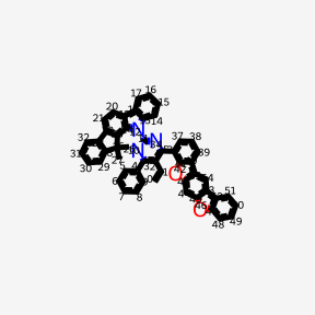 C=Cc1c(-c2ccccc2)nc(-n2c3ccccc3c3ccc4c(c32)C(C)(C)c2ccccc2-4)nc1-c1cccc2c1oc1cc3oc4ccccc4c3cc12